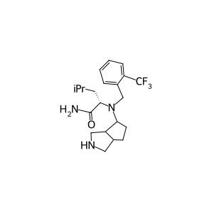 CC(C)C[C@@H](C(N)=O)N(Cc1ccccc1C(F)(F)F)C1CCC2CNCC21